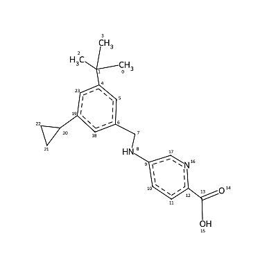 CC(C)(C)c1cc(CNc2ccc(C(=O)O)nc2)cc(C2CC2)c1